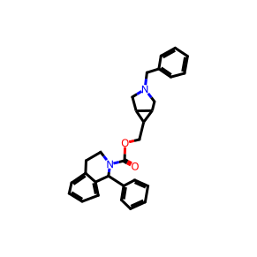 O=C(OCC1C2CN(Cc3ccccc3)CC12)N1CCc2ccccc2C1c1ccccc1